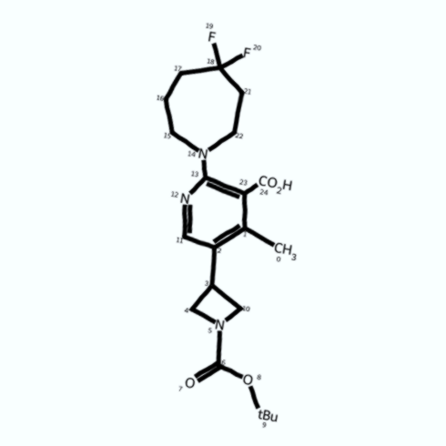 Cc1c(C2CN(C(=O)OC(C)(C)C)C2)cnc(N2CCCC(F)(F)CC2)c1C(=O)O